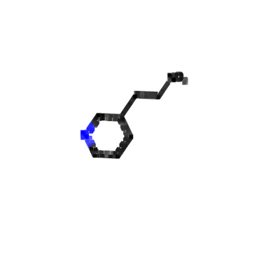 O=[N+]([O-])C=Cc1cccnc1